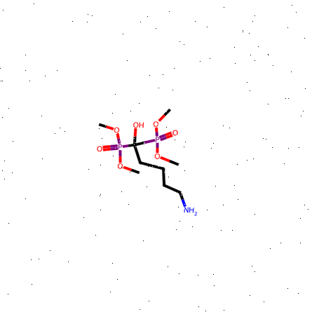 COP(=O)(OC)C(O)(CCCCN)P(=O)(OC)OC